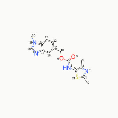 Cc1nc(C)c(NC(=O)OCc2ccc3c(c2)ncn3C)s1